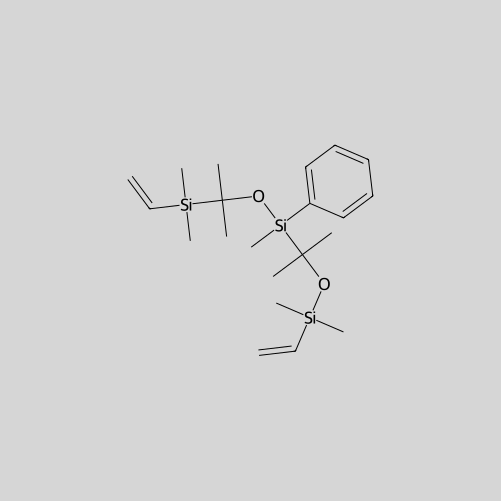 C=C[Si](C)(C)OC(C)(C)[Si](C)(OC(C)(C)[Si](C)(C)C=C)c1ccccc1